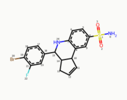 NS(=O)(=O)c1ccc2c(c1)C1C=CCC1C(c1ccc(Br)c(F)c1)N2